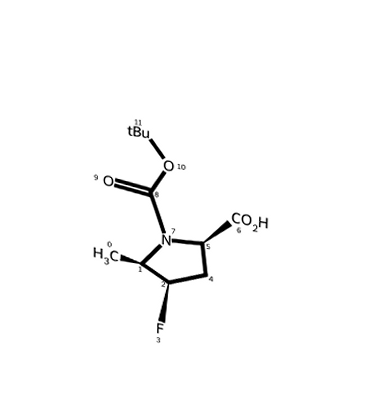 C[C@@H]1[C@H](F)C[C@H](C(=O)O)N1C(=O)OC(C)(C)C